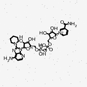 NC(=O)c1ccc[n+]([C@H]2O[C@@H](COP(=O)(O)OP(=O)(O)OC[C@H]3O[C@@H](n4c(N5CCCCC5)nc5c(N)ccnc54)C(O)[C@H]3O)C(O)[C@H]2O)c1